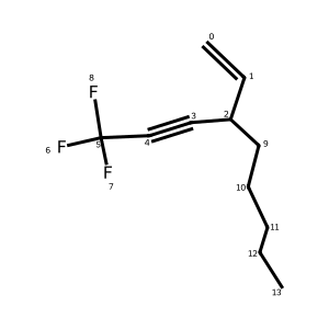 C=CC(C#CC(F)(F)F)CCCCC